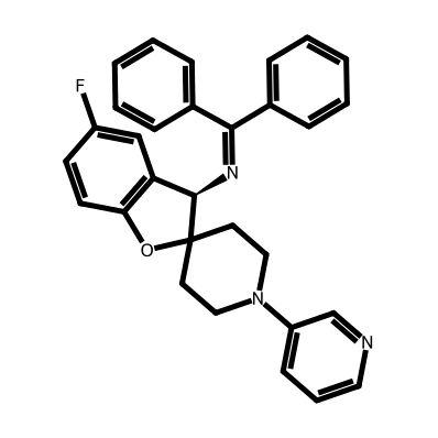 Fc1ccc2c(c1)[C@@H](N=C(c1ccccc1)c1ccccc1)C1(CCN(c3cccnc3)CC1)O2